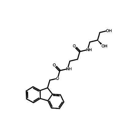 O=C(CCNC(=O)OCC1c2ccccc2-c2ccccc21)NC[C@H](O)CO